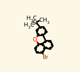 C[Si](C)(C)c1ccc2c(c1)Oc1ccc(Br)c3cccc-2c13